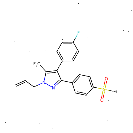 C=CCn1nc(-c2ccc(S(=O)(=O)CC)cc2)c(-c2ccc(F)cc2)c1C(F)(F)F